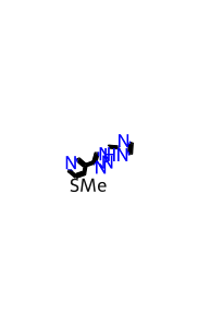 CSc1cncc(-c2cn(Cc3ncc[nH]3)nn2)c1